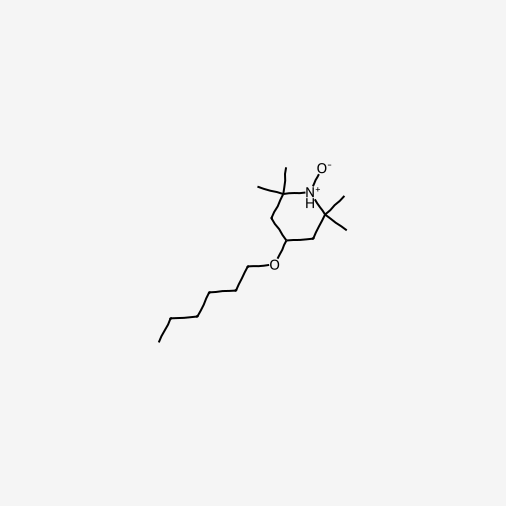 CCCCCCOC1CC(C)(C)[NH+]([O-])C(C)(C)C1